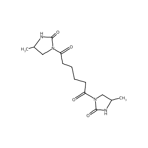 CC1CN(C(=O)CCCCC(=O)N2CC(C)NC2=O)C(=O)N1